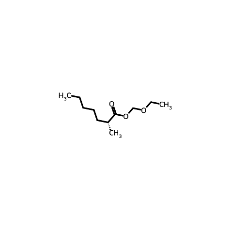 CCCCC[C@@H](C)C(=O)OCOCC